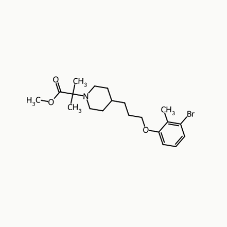 COC(=O)C(C)(C)N1CCC(CCCOc2cccc(Br)c2C)CC1